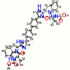 COC(=O)NC(C(=O)N1c2ccccc2C[C@H]1c1nc(-c2ccc(-c3ccc(-c4cnc([C@@H]5Cc6ccccc6N5C(=O)C(NC(=O)OC)C(C)C)[nH]4)cc3)cc2)c[nH]1)C(C)C